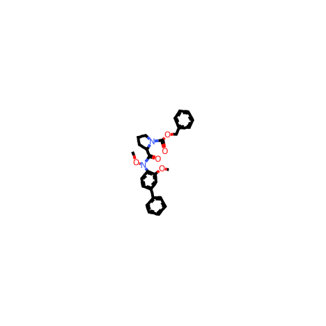 COc1cc(-c2ccccc2)ccc1N(OC)C(=O)C1CCCN1C(=O)OCc1ccccc1